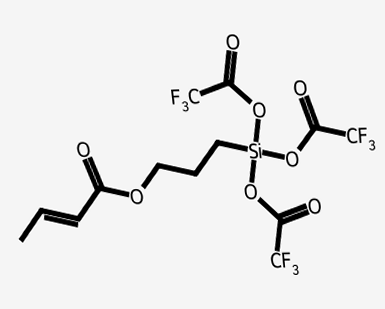 CC=CC(=O)OCCC[Si](OC(=O)C(F)(F)F)(OC(=O)C(F)(F)F)OC(=O)C(F)(F)F